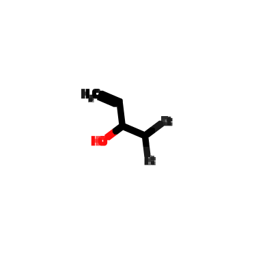 C=CC(O)C(CC)CC